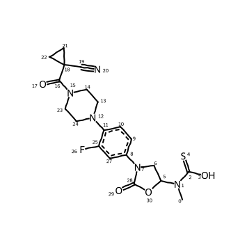 CN(C(O)=S)C1CN(c2ccc(N3CCN(C(=O)C4(C#N)CC4)CC3)c(F)c2)C(=O)O1